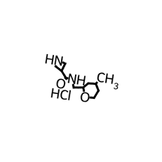 CC1CCOC(CNC(=O)C2CNC2)C1.Cl